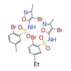 CCc1ccc(Br)c(S(=O)(=O)Nc2onc(C)c2Br)c1.Cc1ccc(Br)c(S(=O)(=O)Nc2onc(C)c2Br)c1